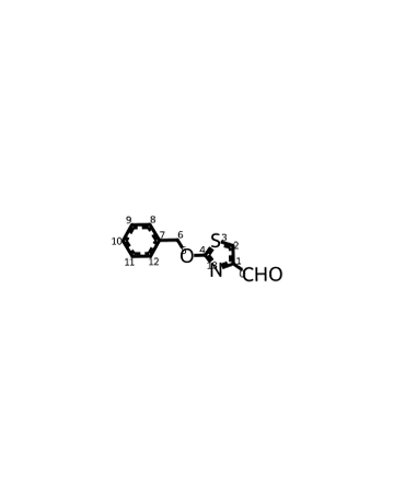 O=Cc1csc(OCc2ccccc2)n1